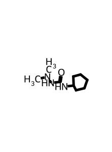 CN(C)NC(=O)NC1CCCCC1